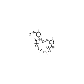 Cc1ccc(NC(=O)OC(C)COC(C)(C)CCOC(C)(C)C(=O)Nc2ccc(C)c(N=C=O)c2)cc1N=C=O